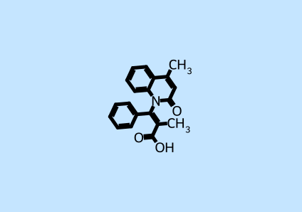 CC(C(=O)O)=C(c1ccccc1)n1c(=O)cc(C)c2ccccc21